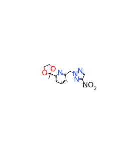 CC1(c2cccc(Cn3ncc([N+](=O)[O-])n3)n2)OCCO1